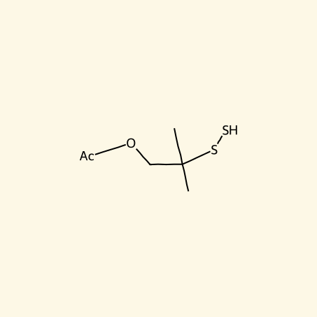 CC(=O)OCC(C)(C)SS